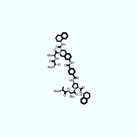 CC[C@H](NC)C(=O)N[C@H](C(=O)N1Cc2cc(NC(=O)c3ccc(C(=O)N[C@H]4C[C@@H](C(=O)N[C@@H]5CCCc6ccccc65)N(C(=O)[C@@H](NC(=O)[C@H](C)NC)C(C)(C)C)C4)cc3)ccc2C[C@H]1C(=O)N[C@@H]1CCCc2ccccc21)C(C)(C)C